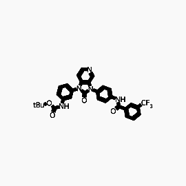 CC(C)(C)OC(=O)Nc1cccc(-n2c(=O)n(-c3ccc(NC(=O)c4cccc(C(F)(F)F)c4)cc3)c3cnccc32)c1